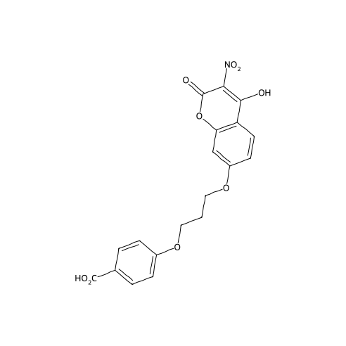 O=C(O)c1ccc(OCCCOc2ccc3c(O)c([N+](=O)[O-])c(=O)oc3c2)cc1